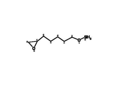 [SiH3]OCCCCCC1CO1